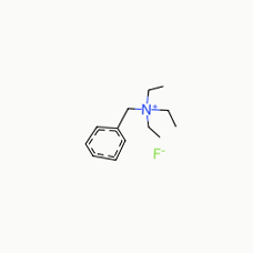 CC[N+](CC)(CC)Cc1ccccc1.[F-]